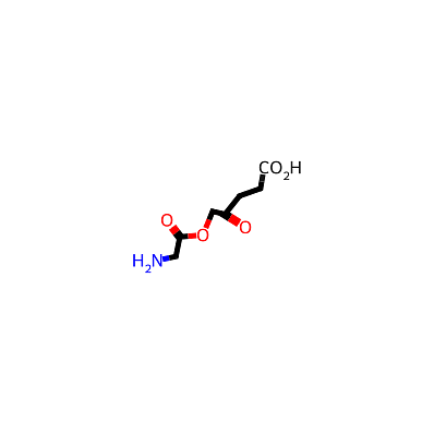 NCC(=O)OCC(=O)CCC(=O)O